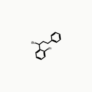 CCC(C)[C](CCc1ccccc1)c1ccccc1C(C)C